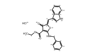 CCOC(=O)C1=C(NCc2ccccc2)OC(=Cc2c[nH]c3ncccc23)C1=O.Cl